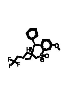 CC[C@]1(CCCC(F)(F)F)CS(=O)(=O)c2cc(OC)ccc2[C@H](c2ccccc2)N1